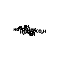 Bc1cc(CP(C)(=O)O)cc(B)c1Oc1ccc(O)c(C(=O)NC(C)CC(=O)O)c1